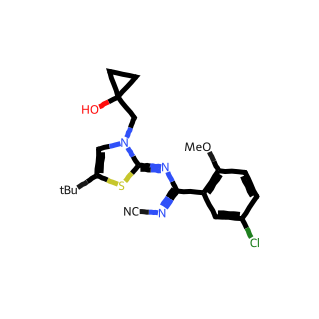 COc1ccc(Cl)cc1C(=NC#N)N=c1sc(C(C)(C)C)cn1CC1(O)CC1